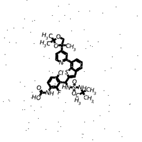 CC(C)(C)NS(=O)(=O)NC(c1cc2cccc(-c3cc(C4(C)COC(C)(C)O4)ccn3)c2s1)c1c(Cl)ccc(NC(=O)O)c1F